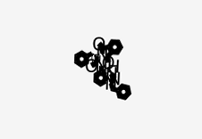 O=C(Nc1cccc2c1nnn2Cc1ccccc1)[C@H](Cc1ccccc1)N1C(=O)c2ccccc2C1=O